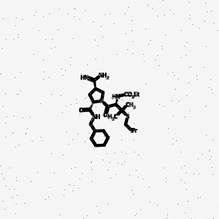 CCOC(=O)N[C@@H](C(=O)N1C[C@H](C(=N)N)C[C@H]1C(=O)NCC1CCCCC1)C(C)(C)SCC(C)C